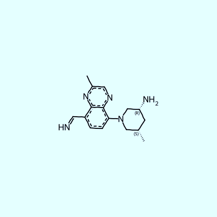 Cc1cnc2c(N3C[C@@H](C)C[C@@H](N)C3)ccc(C=N)c2n1